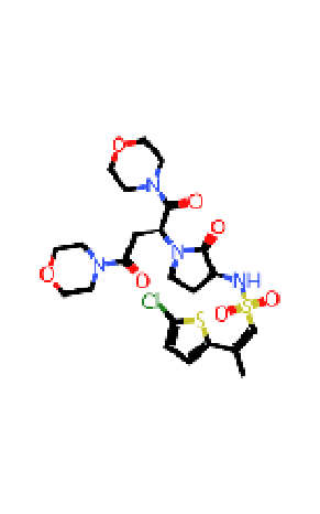 CC(=CS(=O)(=O)N[C@H]1CCN([C@@H](CC(=O)N2CCOCC2)C(=O)N2CCOCC2)C1=O)c1ccc(Cl)s1